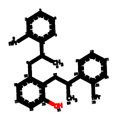 CCCc1ccccc1C(C)Cc1cccc(O)c1CC(C)c1ccccc1CCC